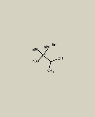 CCCC[P+](CCCC)(CCCC)C(C)O.[Br-]